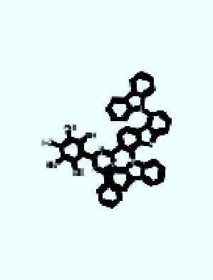 Oc1c(O)c(O)c(-c2nc(-c3ccccc3)nc(-c3ccc4c(sc5cccc(-n6c7ccccc7c7ccccc76)c54)c3-n3c4ccccc4c4ccccc43)n2)c(O)c1O